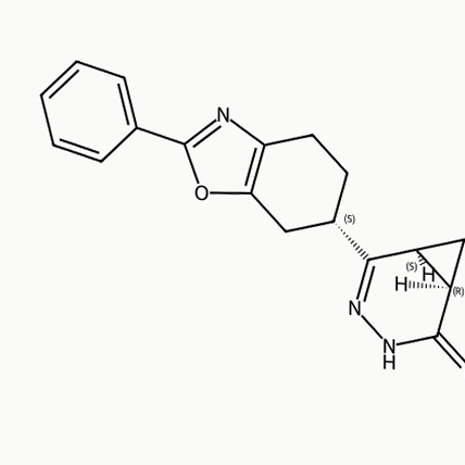 O=C1NN=C([C@H]2CCc3nc(-c4ccccc4)oc3C2)[C@H]2C[C@@H]12